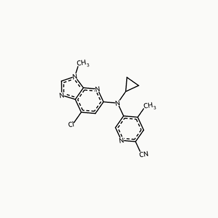 Cc1cc(C#N)ncc1N(c1cc(Cl)c2ncn(C)c2n1)C1CC1